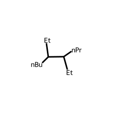 [CH2]CC(CCC)C(CC)CCCC